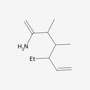 C=CC(CC)C(C)C(C)C(=C)N